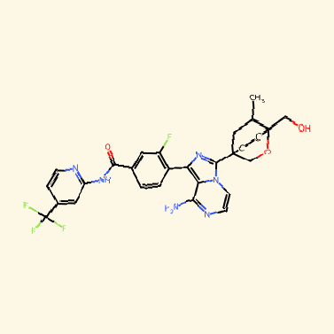 CC1CC2(c3nc(-c4ccc(C(=O)Nc5cc(C(F)(F)F)ccn5)cc4F)c4c(N)nccn34)CCC1(CO)OC2